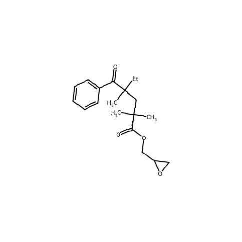 CCC(C)(CC(C)(C)C(=O)OCC1CO1)C(=O)c1ccccc1